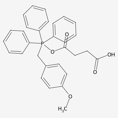 COc1ccc(CP(OC(=O)CCC(=O)O)(c2ccccc2)(c2ccccc2)c2ccccc2)cc1